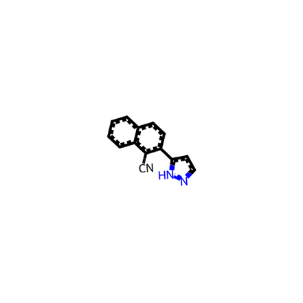 N#Cc1c(-c2ccn[nH]2)ccc2ccccc12